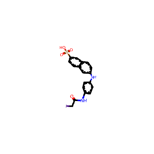 O=C(CI)Nc1ccc(Nc2ccc3cc(S(=O)(=O)O)ccc3c2)cc1